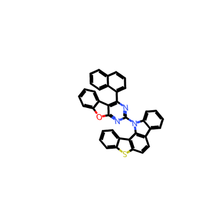 c1ccc2c(-c3nc(-n4c5ccccc5c5ccc6sc7ccccc7c6c54)nc4oc5ccccc5c34)cccc2c1